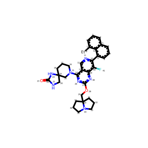 CCc1cccc2cccc(-c3ncc4c(N5CCCC6(CNC(=O)N6)C5)nc(OCC56CCCN5CCC6)nc4c3F)c12